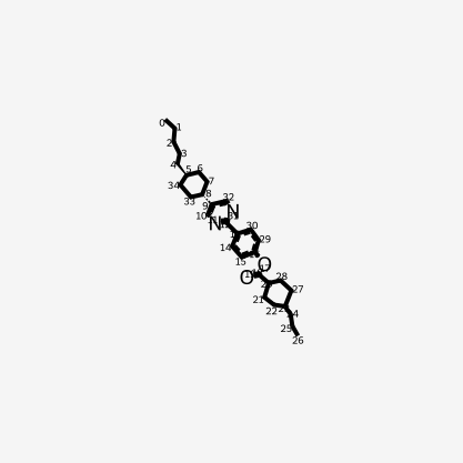 CCCCC[C@H]1CC[C@H](c2cnc(-c3ccc(OC(=O)C4CCC(CCC)CC4)cc3)nc2)CC1